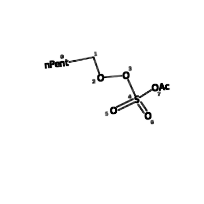 CCCCCCOOS(=O)(=O)OC(C)=O